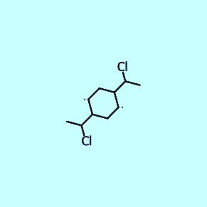 CC(Cl)C1[CH]CC(C(C)Cl)[CH]C1